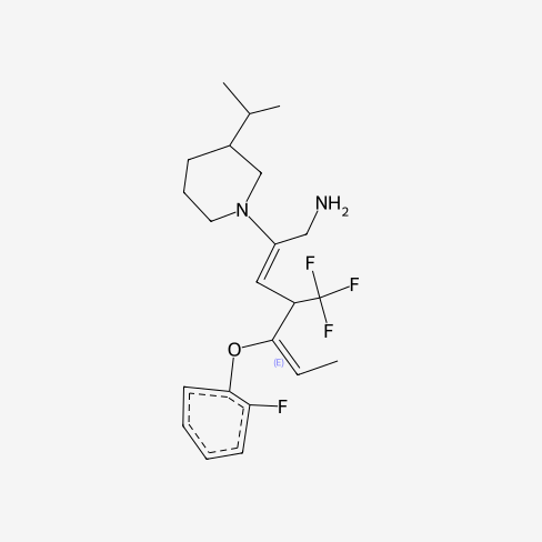 C/C=C(/Oc1ccccc1F)C(C=C(CN)N1CCCC(C(C)C)C1)C(F)(F)F